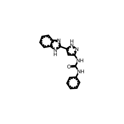 O=C(Nc1ccccc1)Nc1cc(-c2nc3ccccc3[nH]2)[nH]n1